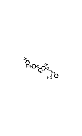 COc1cc2c(Oc3ccc(Nc4ccc(C(C)(C)C)cc4)cc3)ccnc2cc1OCCN(CCO)Cc1ccccc1